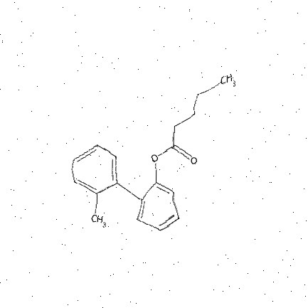 CCCCC(=O)Oc1ccccc1-c1ccccc1C